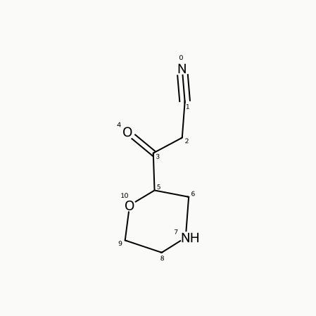 N#CCC(=O)C1CNCCO1